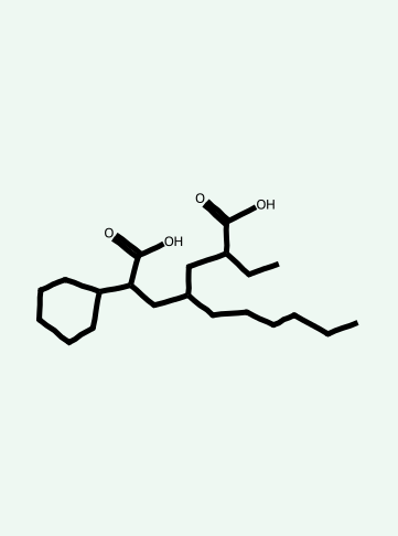 CCCCCCC(CC(CC)C(=O)O)CC(C(=O)O)C1CCCCC1